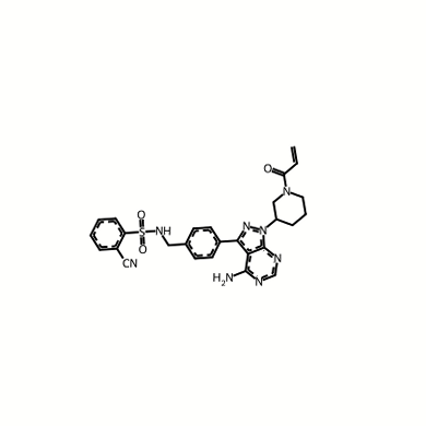 C=CC(=O)N1CCCC(n2nc(-c3ccc(CNS(=O)(=O)c4ccccc4C#N)cc3)c3c(N)ncnc32)C1